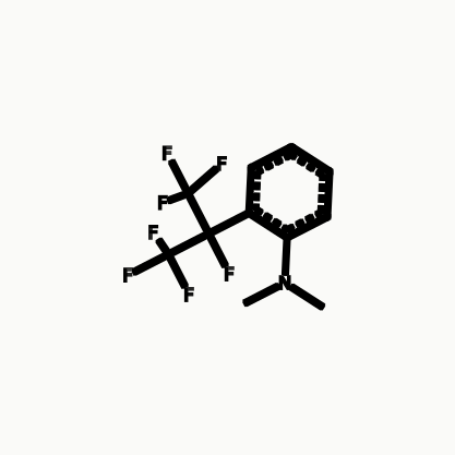 CN(C)c1ccccc1C(F)(C(F)(F)F)C(F)(F)F